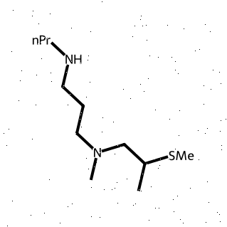 CCCNCCCN(C)CC(C)SC